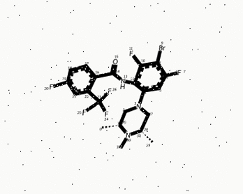 C[C@@H]1CN(c2cc(F)c(Br)c(F)c2NC(=O)c2ccc(F)cc2C(F)(F)F)C[C@H](C)N1C